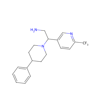 NCC(c1ccc(C(F)(F)F)nc1)N1CCC(c2ccccc2)CC1